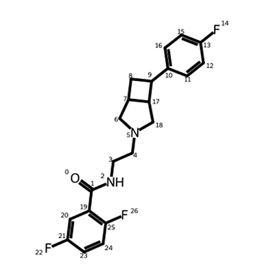 O=C(NCCN1CC2CC(c3ccc(F)cc3)C2C1)c1cc(F)ccc1F